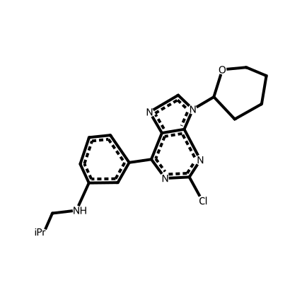 CC(C)CNc1cccc(-c2nc(Cl)nc3c2ncn3C2CCCCO2)c1